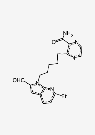 CCc1ccc2cc(C=O)n(CCCCCc3nccnc3C(N)=O)c2n1